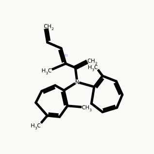 C=C/C=C(\C)C(=C)N(C1=C(C)C=C(C)CC=C1)C1=C(C)C=CC=CC1